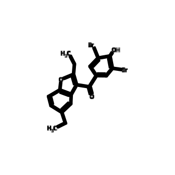 CCc1ccc2oc(CC)c(C(=O)c3cc(Br)c(O)c(Br)c3)c2c1